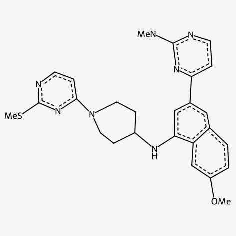 CNc1nccc(-c2cc(NC3CCN(c4ccnc(SC)n4)CC3)c3cc(OC)ccc3c2)n1